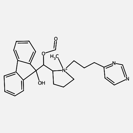 C[N+]1(CCCc2ccncn2)CCCC1C(OC=O)C1(O)c2ccccc2-c2ccccc21